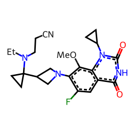 CCN(CCC#N)C1(C2CN(c3c(F)cc4c(=O)[nH]c(=O)n(C5CC5)c4c3OC)C2)CC1